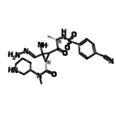 C[C@H](NS(=O)(=O)c1ccc(C#N)cc1)C(=O)C1[C@H](C(=O)N(C)C2CCCNC2)C1([NH])C=NN